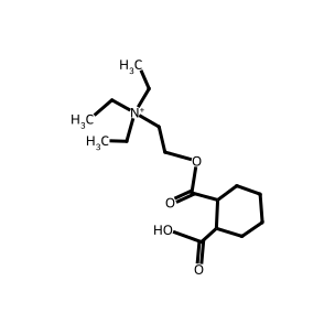 CC[N+](CC)(CC)CCOC(=O)C1CCCCC1C(=O)O